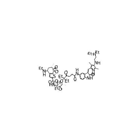 CCN[C@H]1C[C@H](C)S(=O)(=O)c2sc(S(=O)(=O)NC(CC)(CC)C(=O)[C@@H](C)OC(CC)(CC)C(=O)CCC(=O)Nc3ccc4c(c3)/C(=C/c3[nH]c(C)c(NCCN(CC)CC)c3C)C(=O)N4)cc21